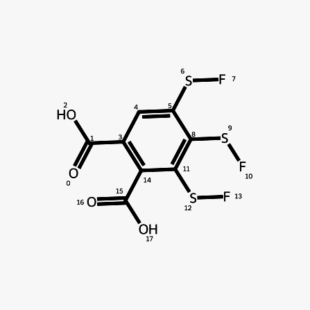 O=C(O)c1cc(SF)c(SF)c(SF)c1C(=O)O